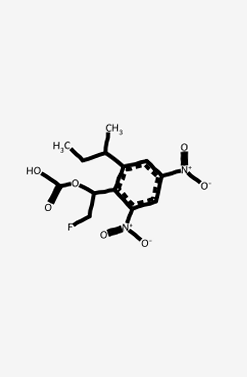 CCC(C)c1cc([N+](=O)[O-])cc([N+](=O)[O-])c1C(CF)OC(=O)O